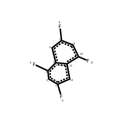 Fc1cc(F)c2cc(F)cc(F)c2c1